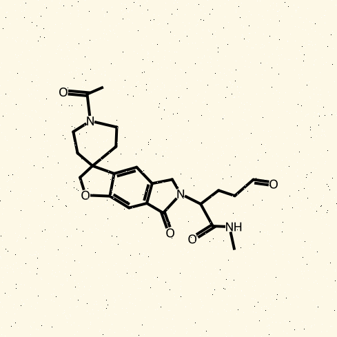 CNC(=O)C(CCC=O)N1Cc2cc3c(cc2C1=O)OCC31CCN(C(C)=O)CC1